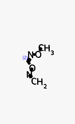 C=NO/C=N\OC